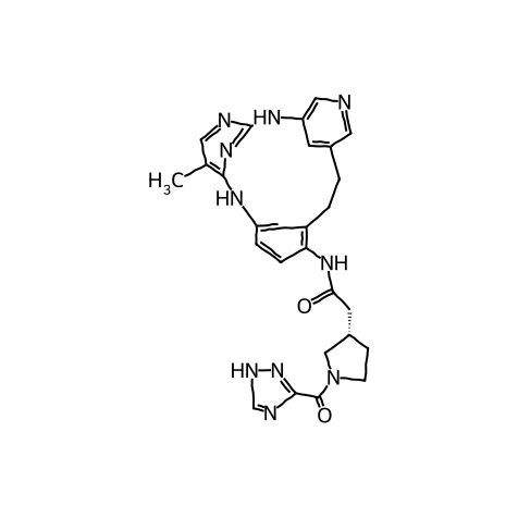 Cc1cnc2nc1Nc1ccc(NC(=O)C[C@@H]3CCN(C(=O)c4nc[nH]n4)C3)c(c1)CCc1cncc(c1)N2